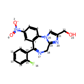 O=[N+]([O-])c1ccc2c(c1)C(c1ccccc1F)=NCc1nc(CO)cn1-2